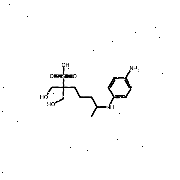 CC(CCCC(CO)(CO)S(=O)(=O)O)Nc1ccc(N)cc1